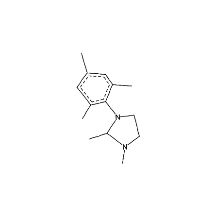 Cc1cc(C)c(N2CCN(C)C2C)c(C)c1